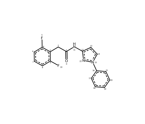 O=C(Cc1c(F)cccc1F)Nc1ccn(-c2ccccc2)n1